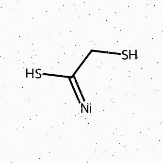 SC[C](S)=[Ni]